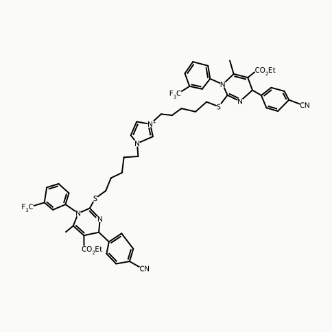 CCOC(=O)C1=C(C)N(c2cccc(C(F)(F)F)c2)C(SCCCCCn2cc[n+](CCCCCSC3=NC(c4ccc(C#N)cc4)C(C(=O)OCC)=C(C)N3c3cccc(C(F)(F)F)c3)c2)=NC1c1ccc(C#N)cc1